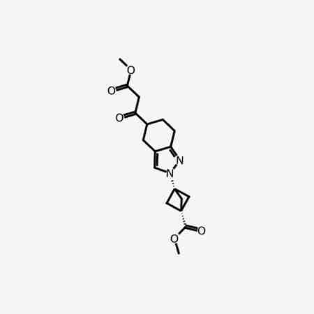 COC(=O)CC(=O)C1CCc2nn([C@]34C[C@](C(=O)OC)(C3)C4)cc2C1